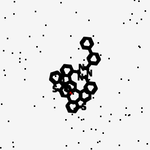 c1ccc(-c2cccc(-c3nc(-c4ccccc4)nc(-c4cccc5oc6ccc(-c7cccc8sc9cccc(-c%10ccc%11c(c%10)sc%10ccccc%10%11)c9c78)cc6c45)n3)c2)cc1